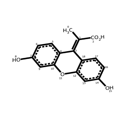 CC(C(=O)O)=C1c2ccc(O)cc2Oc2cc(O)ccc21